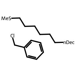 CCCCCCCCCCCCCCCCSC.ClCc1ccccc1